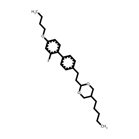 CCCCCC1COC(CCc2ccc(-c3ccc(OCCCC)cc3F)cc2)OC1